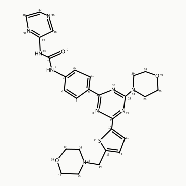 O=C(Nc1ccc(-c2nc(-c3ccc(CN4CCOCC4)s3)nc(N3CCOCC3)n2)cc1)Nc1cnccn1